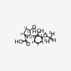 [2H]C([2H])([2H])Oc1cccc([C@@H]2[C@H](O)CCN2C(=O)O)c1C